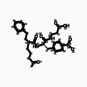 CC(=O)SCCN(CCc1ccccc1)C(=O)N[C@@H](Cc1ccc([N+](=O)[O-])cc1)C(=O)NCCC(=O)O